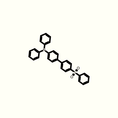 O=S(=O)(c1ccccc1)c1ccc(-c2ccc(N(c3ccccc3)c3ccccc3)cc2)cc1